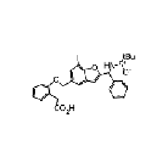 CC(C)(C)[S@@+]([O-])NC(c1ccccc1)c1cc2cc(COc3ccccc3CC(=O)O)cc(I)c2o1